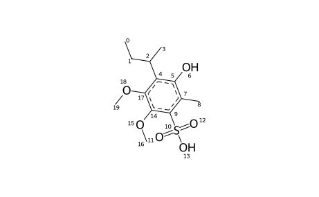 CCC(C)c1c(O)c(C)c(S(=O)(=O)O)c(OC)c1OC